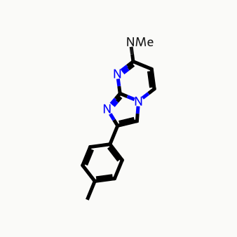 CNc1ccn2cc(-c3ccc(C)cc3)nc2n1